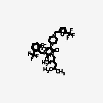 Cc1c(N2CCN(Cc3ccc(C(F)(F)F)o3)CC2)c(=O)n(C[C@@H](N)CC(C)C)c(=O)n1Cc1c(F)cccc1C(F)(F)F